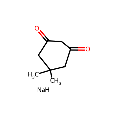 CC1(C)CC(=O)CC(=O)C1.[NaH]